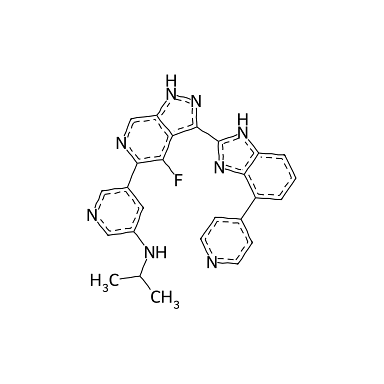 CC(C)Nc1cncc(-c2ncc3[nH]nc(-c4nc5c(-c6ccncc6)cccc5[nH]4)c3c2F)c1